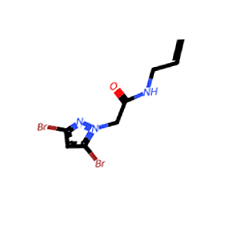 C=CCNC(=O)Cn1nc(Br)cc1Br